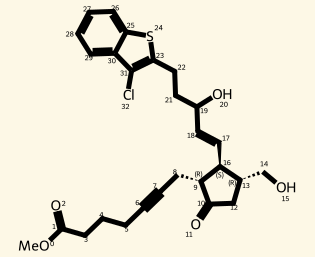 COC(=O)CCCC#CC[C@H]1C(=O)C[C@@H](CO)[C@@H]1C=CC(O)CCc1sc2ccccc2c1Cl